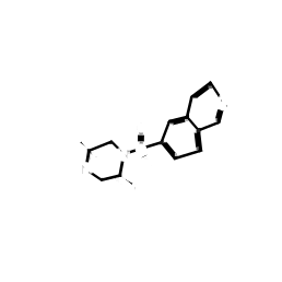 C[C@H]1CN(S(=O)(=O)c2ccc3cnccc3c2)[C@@H](C)CN1